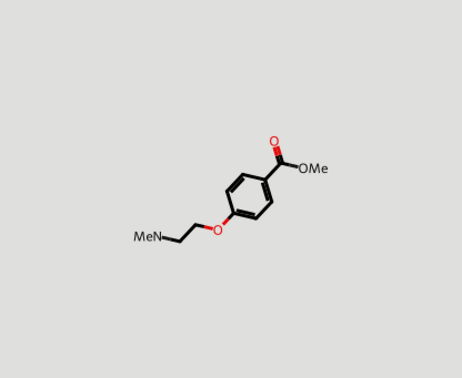 CNCCOc1ccc(C(=O)OC)cc1